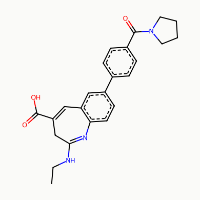 CCNC1=Nc2ccc(-c3ccc(C(=O)N4CCCC4)cc3)cc2C=C(C(=O)O)C1